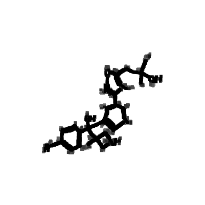 CC(C)c1ccc(C(O)(c2cncc(-c3noc(CC(C)(C)O)n3)c2)C2(C)CNC2)cc1